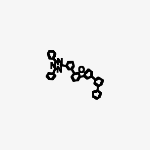 c1ccc(-c2cccc(-c3ccc4oc5c(-c6cccc(-c7nc(-c8ccccc8)nc(-c8ccccc8)n7)c6)cccc5c4c3)c2)cc1